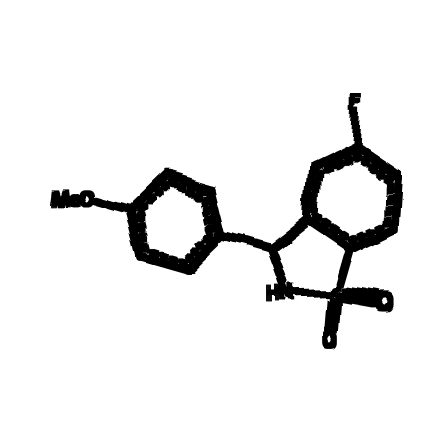 COc1ccc(C2NS(=O)(=O)c3ccc(F)cc32)cc1